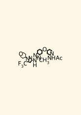 CC(=O)Nc1cc(Oc2ccc3nc(Nc4cc(C(F)(F)F)n(C5CCOCC5)n4)n(C)c3c2)ccn1